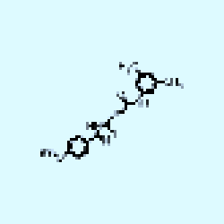 Cc1cc(C)cc(NC(=O)CSc2nnc(-c3ccc(OC(C)C)cc3)[nH]2)c1